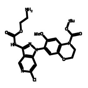 COc1cc2c(cc1-n1nc(NC(=O)OCCN)c3cnc(Cl)cc31)OCCN2C(=O)OC(C)(C)C